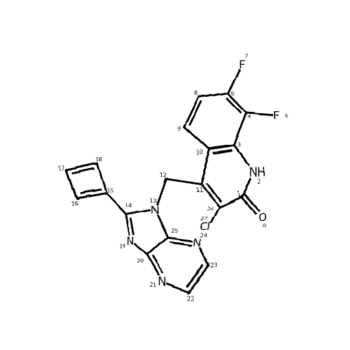 O=c1[nH]c2c(F)c(F)ccc2c(Cn2c(C3=CC=C3)nc3nccnc32)c1Cl